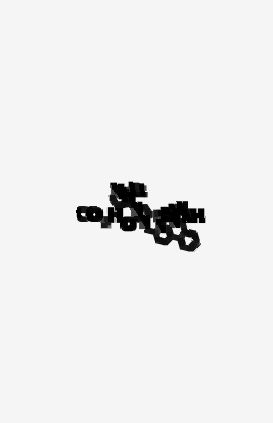 CCCCc1cn(-c2c(C(=O)O)cnn2CC)c(=O)n1Cc1ccc(-c2ccccc2-c2nnn[nH]2)cn1